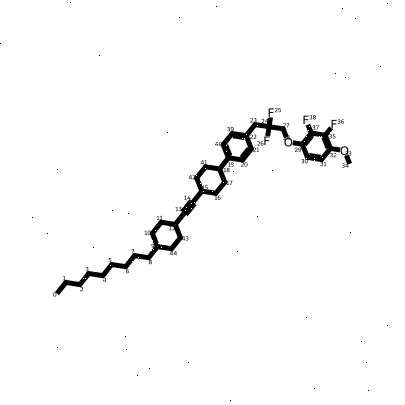 CCCCCCCCCC1CCC(C#CC2CCC(c3ccc(CC(F)(F)COc4ccc(OC)c(F)c4F)cc3)CC2)CC1